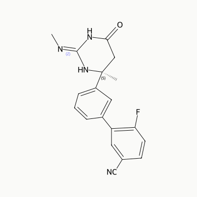 C/N=C1\NC(=O)C[C@@](C)(c2cccc(-c3cc(C#N)ccc3F)c2)N1